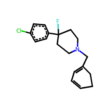 FC1(c2ccc(Cl)cc2)CCN(CC2=CC=CCC2)CC1